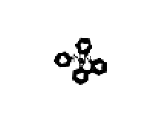 c1ccc(N2B3c4ccccc4-c4ccccc4N3c3ccccc32)cc1